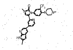 Cc1cc2cc(-c3ccnc(-c4cn(C)c(=O)n4-c4ccc(N5CCN(C)CC5)c(C(F)(F)F)c4)c3)cnc2[nH]1